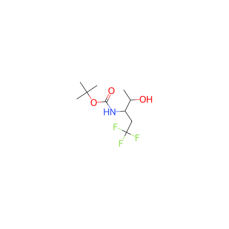 CC(O)C(CC(F)(F)F)NC(=O)OC(C)(C)C